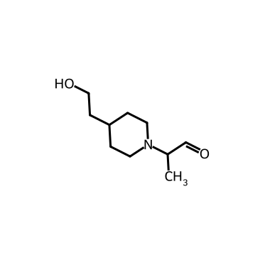 CC(C=O)N1CCC(CCO)CC1